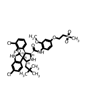 COc1cc(OCCS(C)(=O)=O)ccc1NC(=O)[C@@H]1N[C@@H](CC(C)(C)C)[C@@]2(C(=O)Nc3cc(Cl)ccc32)[C@H]1c1cccc(Cl)c1F